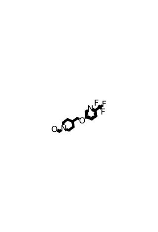 O=CN1CCC(COc2ccc(C(F)(F)F)nc2)CC1